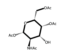 CC(=O)N[C@H]1[C@H](OC(C)=O)O[C@H](COC(C)=O)[C@H](OC(C)=O)[C@@H]1O